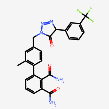 Cc1cc(CN2N=NC(c3cccc(C(F)(F)F)c3)C2=O)ccc1-c1cccc(C(N)=O)c1C(N)=O